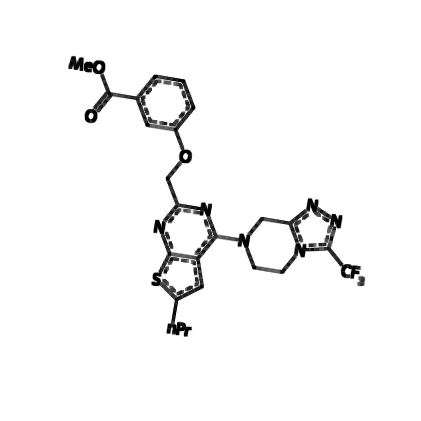 CCCc1cc2c(N3CCn4c(nnc4C(F)(F)F)C3)nc(COc3cccc(C(=O)OC)c3)nc2s1